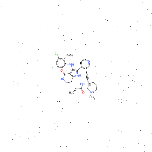 C=CC(=O)N[C@]1(C#Cc2cnccc2-c2[nH]c3c(c2Nc2cccc(Cl)c2OC)C(=O)NCC3)CCCN(C)C1